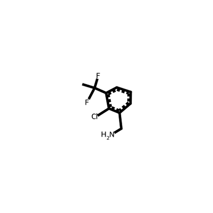 CC(F)(F)c1cccc(CN)c1Cl